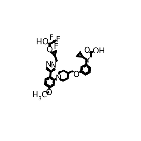 COc1ccc(-c2cnn(CC3CC3)c2)c(N2CCC(COc3cccc([C@@H](CC(=O)O)C4CC4)c3)CC2)c1.O=C(O)C(F)(F)F